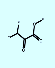 O=C(OF)C(=O)C(F)F